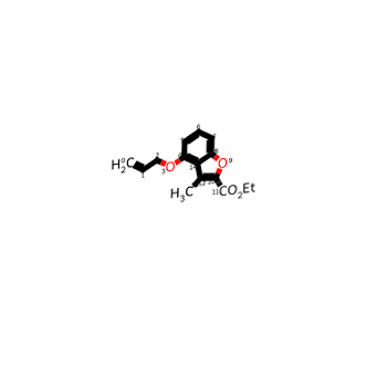 C=CCOc1cccc2oc(C(=O)OCC)c(C)c12